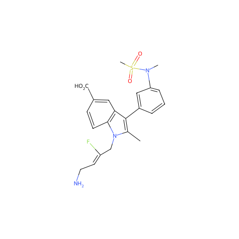 Cc1c(-c2cccc(N(C)S(C)(=O)=O)c2)c2cc(C(=O)O)ccc2n1C/C(F)=C/CN